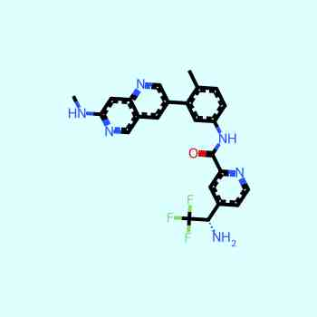 CNc1cc2ncc(-c3cc(NC(=O)c4cc([C@H](N)C(F)(F)F)ccn4)ccc3C)cc2cn1